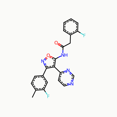 Cc1ccc(-c2noc(NC(=O)Cc3ccccc3F)c2-c2ccncn2)cc1F